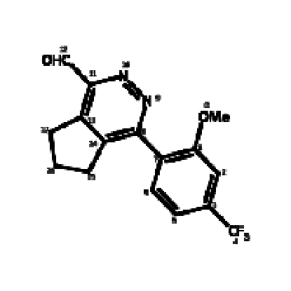 COc1cc(C(F)(F)F)ccc1-c1nnc(C=O)c2c1CCC2